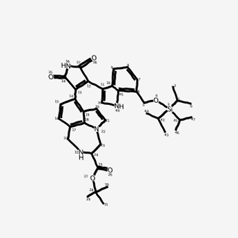 CC(C)[Si](OCc1cccc2c(C3=C(c4ccc5c6c4ccn6CC(C(=O)OC(C)(C)C)NC5)C(=O)NC3=O)c[nH]c12)(C(C)C)C(C)C